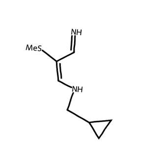 CS/C(C=N)=C/NCC1CC1